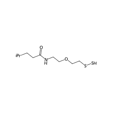 CC(C)CCC(=O)NCCOCCSS